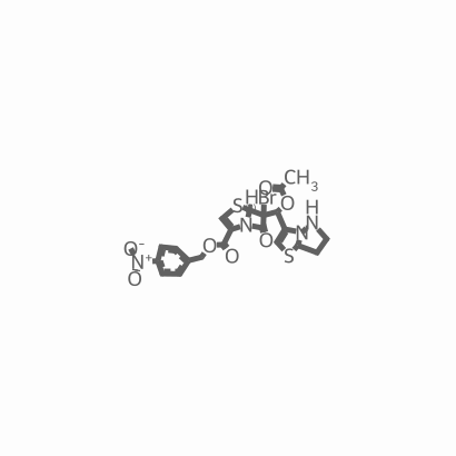 CC(=O)OC(C1=CSC2CCNN12)C1(Br)C(=O)N2C(C(=O)OCc3ccc([N+](=O)[O-])cc3)=CS[C@@H]21